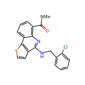 CNC(=O)c1cccc2c1nc(NCc1ccccc1Cl)c1ccsc12